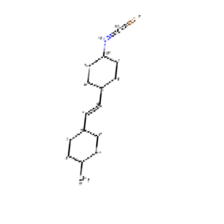 CC1CCC(/C=C/C2CCC(N=C=S)CC2)CC1